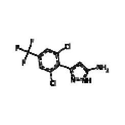 Nc1cc(-c2c(Cl)cc(C(F)(F)F)cc2Cl)n[nH]1